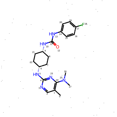 Cc1cnc(N[C@H]2CC[C@@H](NC(=O)Nc3ccc(F)cc3)CC2)nc1N(C)C